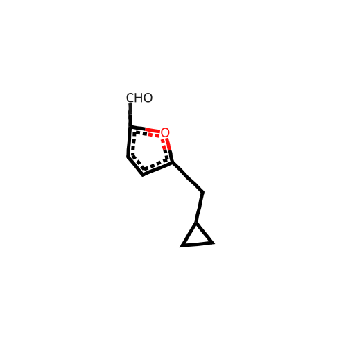 O=Cc1ccc(CC2CC2)o1